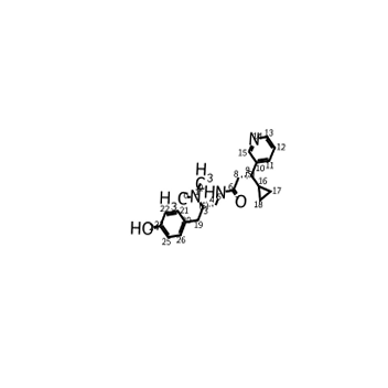 CN(C)[C@H](CNC(=O)C[C@H](c1cccnc1)C1CC1)Cc1ccc(O)cc1